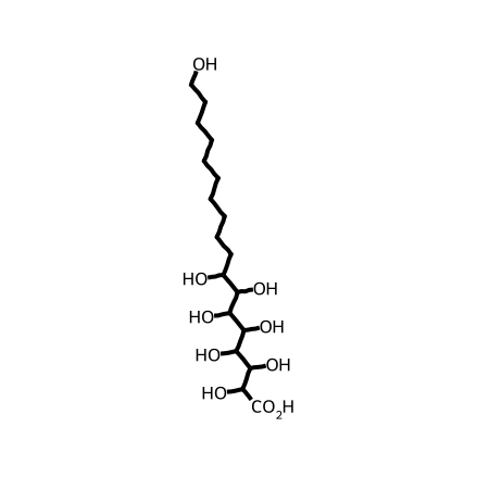 O=C(O)C(O)C(O)C(O)C(O)C(O)C(O)C(O)CCCCCCCCCCO